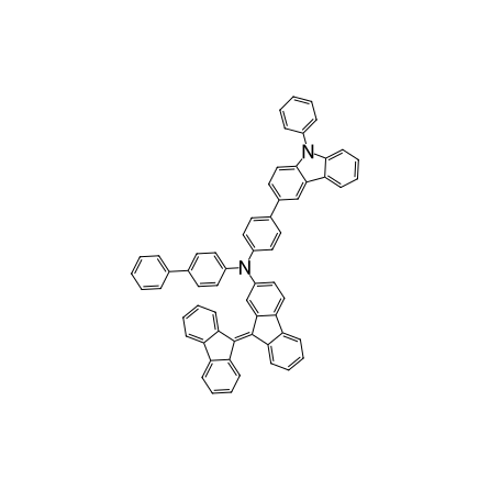 c1ccc(-c2ccc(N(c3ccc(-c4ccc5c(c4)c4ccccc4n5-c4ccccc4)cc3)c3ccc4c(c3)C(=C3c5ccccc5-c5ccccc53)c3ccccc3-4)cc2)cc1